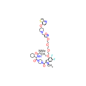 CN[C@@H](C)C(=O)NC(C(=O)N1CCN(C(=O)c2cc3c(OCCOCCOCCOc4cc(CN5CCC(Oc6ccnc7ccsc67)CC5)on4)c(F)c(F)cc3n2C)CC1)C1CCCCC1